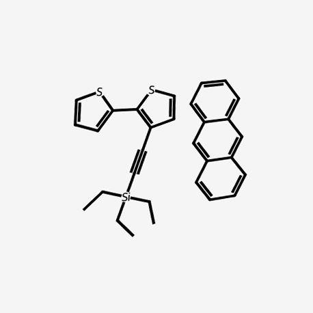 CC[Si](C#Cc1ccsc1-c1cccs1)(CC)CC.c1ccc2cc3ccccc3cc2c1